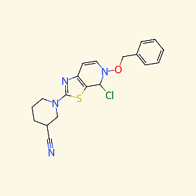 N#CC1CCCN(c2nc3c(s2)C(Cl)N(OCc2ccccc2)C=C3)C1